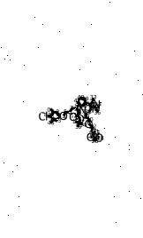 Cc1cc(OCCCc2c(C(=O)OC(C)(C)C)n(CCCOCCOS(C)(=O)=O)c3c(-c4c(C)nn(C)c4C)cccc23)cc(C)c1Cl